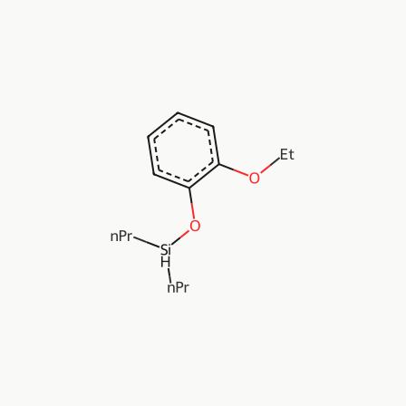 CCC[SiH](CCC)Oc1ccccc1OCC